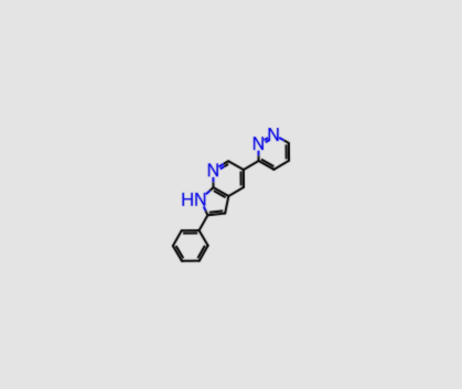 c1ccc(-c2cc3cc(-c4cccnn4)cnc3[nH]2)cc1